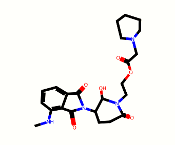 CNc1cccc2c1C(=O)N(C1CCC(=O)N(CCOC(=O)CN3CCCCC3)C1O)C2=O